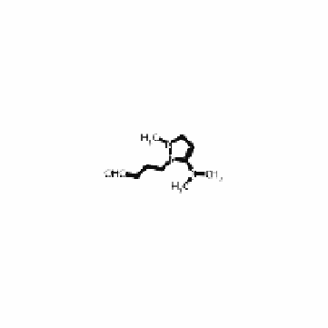 CN(C)C1=CCN(C)N1CCCC=O